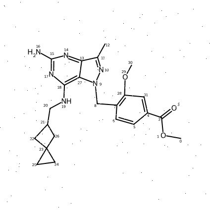 COC(=O)c1ccc(Cn2nc(C)c3nc(N)nc(NCC4CC5(CC5)C4)c32)c(OC)c1